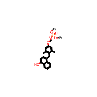 Cc1cc(OCOP(=O)(OC(C)C)OC(C)C)cc(C)c1Cc1ccc(O)c2ccccc12